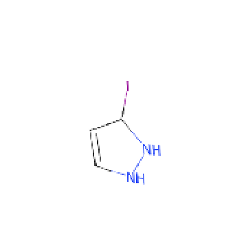 IC1C=CNN1